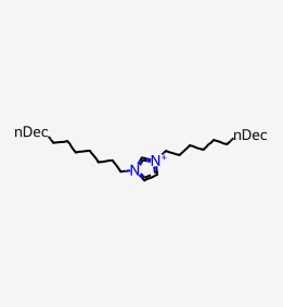 CCCCCCCCCCCCCCCCCn1cc[n+](CCCCCCCCCCCCCCCC)c1